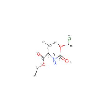 CCOC(=O)C(NC(=O)OCCl)C(C)C